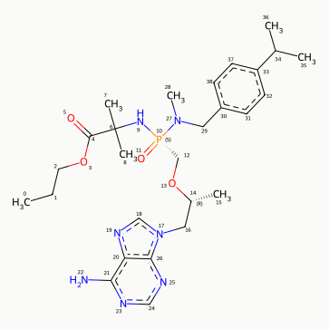 CCCOC(=O)C(C)(C)N[P@@](=O)(CO[C@H](C)Cn1cnc2c(N)ncnc21)N(C)Cc1ccc(C(C)C)cc1